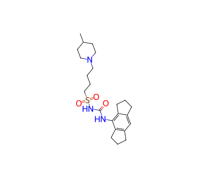 CC1CCN(CCCCS(=O)(=O)NC(=O)Nc2c3c(cc4c2CCC4)CCC3)CC1